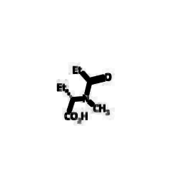 CCC(=O)N(C)[C@@H](CC)C(=O)O